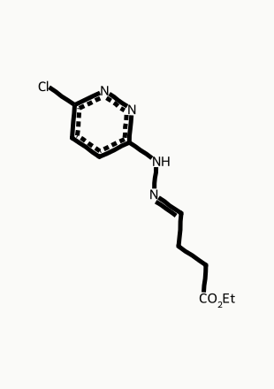 CCOC(=O)CCC=NNc1ccc(Cl)nn1